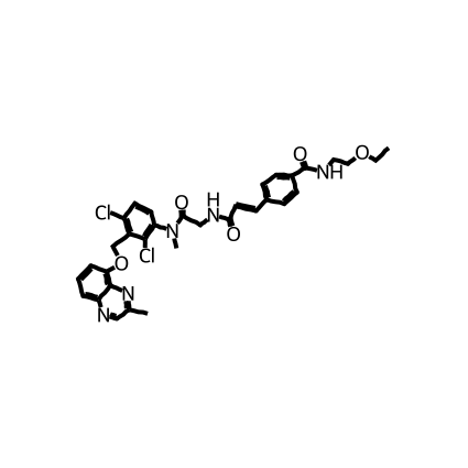 CCOCCNC(=O)c1ccc(/C=C/C(=O)NCC(=O)N(C)c2ccc(Cl)c(COc3cccc4ncc(C)nc34)c2Cl)cc1